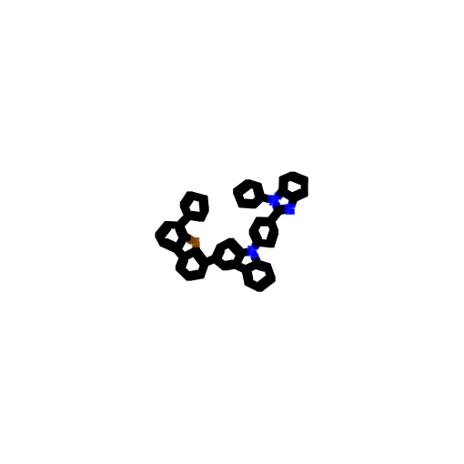 c1ccc(-c2cccc3c2sc2c(-c4ccc5c(c4)c4ccccc4n5-c4ccc(-c5nc6ccccc6n5-c5ccccc5)cc4)cccc23)cc1